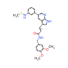 COc1ccc(CNC(=O)/C=C/c2c[nH]c3ncc(-c4cccc(NSC)c4)cc23)cc1OC